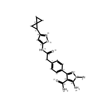 CC(C)n1nc(-c2ccc(CC(=O)Nc3cc(C4CC45CC5)no3)cc2)c(C(N)=O)c1N